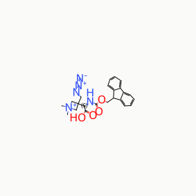 C[N+]1(C)CC(CN=[N+]=[N-])([C@H](NC(=O)OCC2c3ccccc3-c3ccccc32)C(=O)O)C1